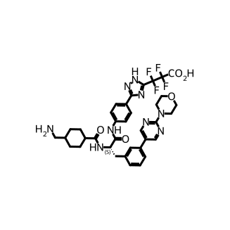 NCC1CCC(C(=O)N[C@@H](Cc2cccc(-c3cnc(N4CCOCC4)nc3)c2)C(=O)Nc2ccc(-c3n[nH]c(C(F)(F)C(F)(F)C(=O)O)n3)cc2)CC1